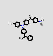 CCN(CC)c1ccc(C(C)c2ccc(N(c3ccc(C)cc3)c3ccc(C(C)c4ccccc4)cc3)cc2)cc1